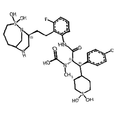 CN(C(=O)O)[C@H](C(=O)Nc1cccc(F)c1CC[C@H]1CNC2CCCS(O)(O)N1C2)[C@@H](c1ccc(Cl)cc1)C1CCS(O)(O)CC1